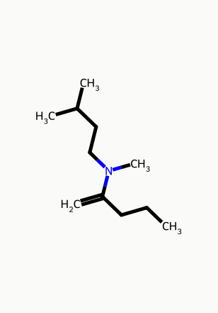 C=C(CCC)N(C)CCC(C)C